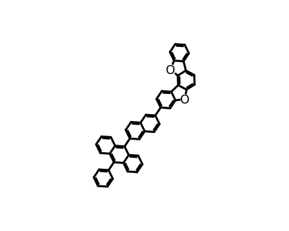 c1ccc(-c2c3ccccc3c(-c3ccc4cc(-c5ccc6c(c5)oc5ccc7c8ccccc8oc7c56)ccc4c3)c3ccccc23)cc1